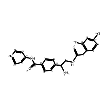 NC(CNC(=O)Cc1ccc(Cl)cc1F)c1ccc(C(=O)Nc2ccncc2)cc1